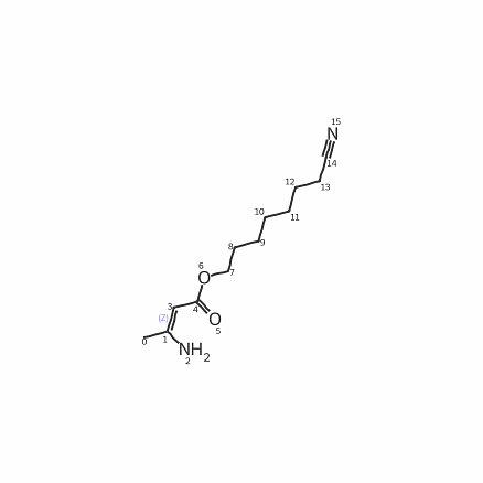 C/C(N)=C/C(=O)OCCCCCCCC#N